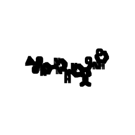 CC(C)n1cc(C(=O)NC2CCCOC2)c2cnc(Nc3ccnc(-c4cnn(S(=O)(=O)C5CC5)c4)n3)cc21